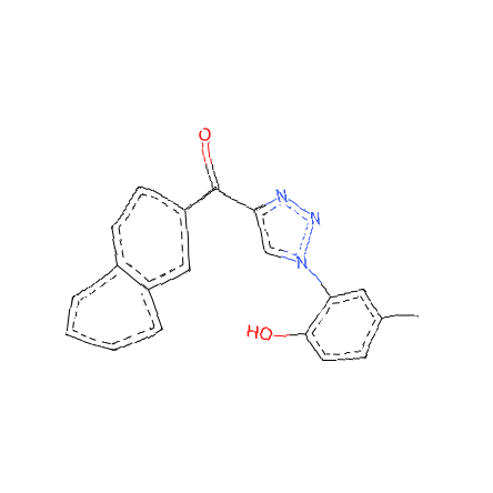 Cc1ccc(O)c(-n2cc(C(=O)c3ccc4ccccc4c3)nn2)c1